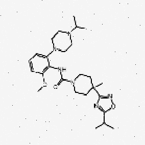 COc1cccc(N2CCN(C(C)C)CC2)c1NC(=O)N1CCC(C)(c2noc(C(C)C)n2)CC1